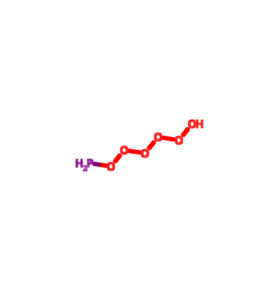 OOOOOOP